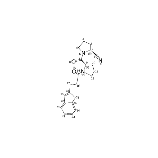 N#C[C@@H]1CCCN1C(=O)[C@H]1CCCN1C(=O)CCC1=Cc2ccccc2C1